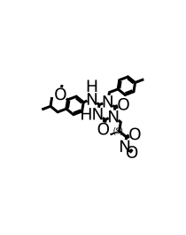 COc1cc(NC2NC(=O)N(C[C@H](C)C(=O)N=O)C(=O)N2Cc2ccc(C)cc2)ccc1CC(C)C